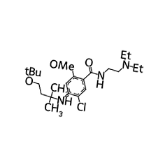 CCN(CC)CCNC(=O)c1cc(Cl)c(NC(C)(C)CCOC(C)(C)C)cc1OC